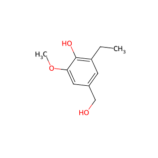 CCc1cc(CO)cc(OC)c1O